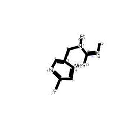 CCN(Cc1ccc(F)nc1)/C(=N\C)SC